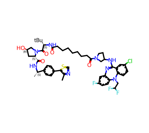 Cc1ncsc1-c1ccc([C@H](C)NC(=O)[C@@H]2C[C@@H](O)CN2C(=O)[C@@H](NC(=O)CCCCCCCC(=O)N2CCC(NC3=Nc4cc(F)ccc4N(CC(F)F)c4ccc(Cl)cc43)C2)C(C)(C)C)cc1